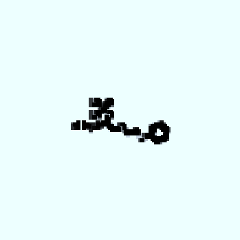 CCCCCCCC(COCCOc1ccccc1)OP(=O)(O)O